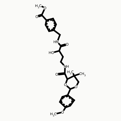 COC(=O)c1ccc(CNC(=O)C(O)CCNC(=O)C2OC(c3ccc(OC)cc3)OCC2(C)C)cc1